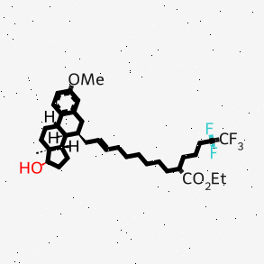 CCOC(=O)C(CCCCCC/C=C/C[C@@H]1Cc2cc(OC)ccc2[C@H]2CC[C@]3(C)[C@@H](O)CC[C@H]3[C@H]12)CCCC(F)(F)C(F)(F)F